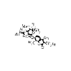 CCOC(=O)c1c(O)c2ccc(O[C@@H]3OC(C)(C)[C@H](OC)[C@H](OC(=O)NC(C)(C)C)[C@H]3O)c(C)c2oc1=O